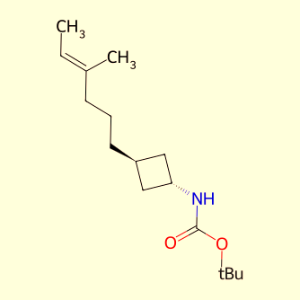 C/C=C(\C)CCC[C@H]1C[C@H](NC(=O)OC(C)(C)C)C1